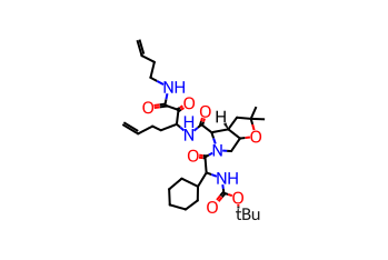 C=CCCNC(=O)C(=O)C(CCC=C)NC(=O)C1[C@@H]2CC(C)(C)OC2CN1C(=O)C(NC(=O)OC(C)(C)C)C1CCCCC1